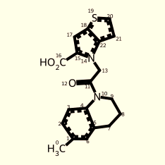 Cc1ccc2c(c1)CCCN2C(=O)Cn1c(C(=O)O)cc2sccc21